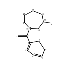 C=C(C1=CC=CCC1)N1CCCCC(C)C1